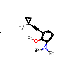 CCOc1c(C#CC2(C(F)(F)F)CC2)cccc1N(CC)C(C)C